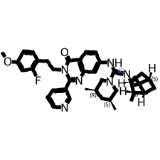 COc1ccc(CCn2c(-c3cccnc3)nc3cc(N/C(=N/[C@H]4C[C@@H]5C[C@H]([C@@H]4C)C5(C)C)N4C[C@H](C)C[C@H](C)C4)ccc3c2=O)c(F)c1